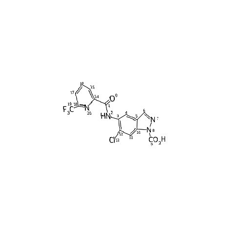 O=C(Nc1cc2cnn(C(=O)O)c2cc1Cl)c1cccc(C(F)(F)F)n1